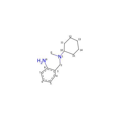 CN(Cc1ccccc1N)C1CCCCC1